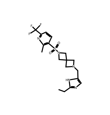 CCc1ncc(CN2CC3(C2)CN(S(=O)(=O)c2ccc(C(F)(F)F)nc2C)C3)[nH]1